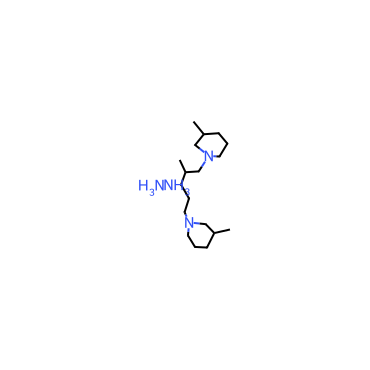 CC1CCCN(CCCC(C)CN2CCCC(C)C2)C1.N.N